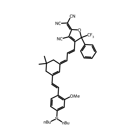 CCCCN(CCCC)c1ccc(/C=C/C2=CC(=C/C=C/C3=C(C#N)C(=C(C#N)C#N)OC3(c3ccccc3)C(F)(F)F)/CC(C)(C)C2)c(OC)c1